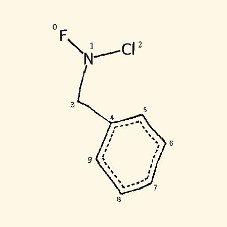 FN(Cl)Cc1ccccc1